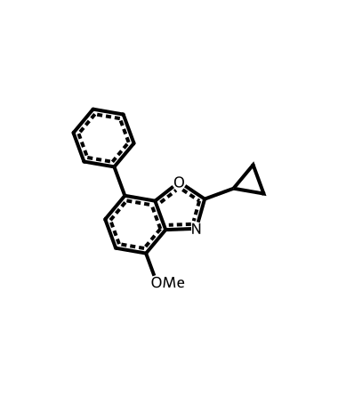 COc1ccc(-c2ccccc2)c2oc(C3CC3)nc12